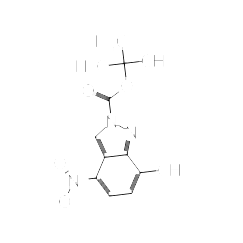 Cc1ccc([N+](=O)[O-])c2cn(C(=O)OC(C)(C)C)nc12